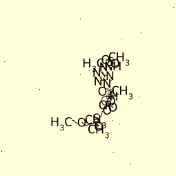 CCCOCC(C)(C)C(=O)SCCOP1(=O)OCC2OC(n3cnc4c(N(C)NS(C)(=O)=O)ncnc43)[C@@H](C)[C@@H]2O1